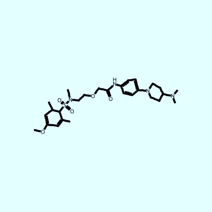 COC1=CC(C)C(S(=O)(=O)N(C)CCOCC(=O)Nc2ccc(N3CCC(N(C)C)CC3)cc2)C(C)=C1